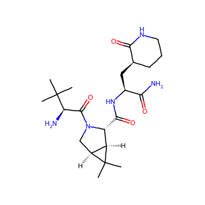 CC(C)(C)[C@H](N)C(=O)N1C[C@H]2[C@@H]([C@H]1C(=O)N[C@@H](C[C@@H]1CCCNC1=O)C(N)=O)C2(C)C